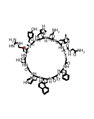 CC[C@@H]1NC(=O)[C@H](Cc2ccccc2)NC(=O)CSC[C@@H](C(=O)NCC(N)=O)NC(=O)[C@H](Cc2cncn2C)NC(=O)[C@H](CCN)NC(=O)[C@H](Cc2c[nH]cn2)NC(=O)[C@H](Cc2ccc(O)cc2)N(C)C(=O)[C@H](CCCNC(=N)N)NC(=O)[C@H](CO)NC(=O)CNC(=O)[C@H](Cc2c[nH]cn2)NC(=O)[C@H](Cc2cccc3ccccc23)NC1=O